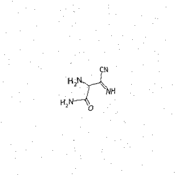 N#CC(=N)C(N)C(N)=O